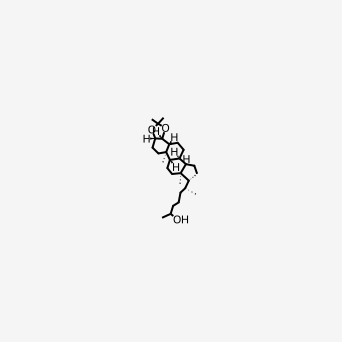 CC(O)CCC[C@@H](C)[C@H]1CC[C@H]2[C@@H]3CC[C@H]4[C@H]5OC(C)(C)O[C@H]5CC[C@]4(C)[C@H]3CC[C@]12C